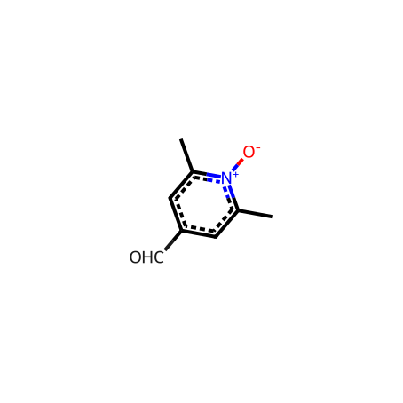 Cc1cc(C=O)cc(C)[n+]1[O-]